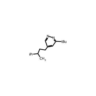 CC(C)C(C)CCc1cnnc(C(C)(C)C)c1